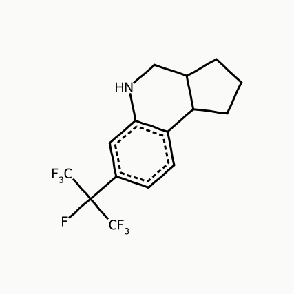 FC(F)(F)C(F)(c1ccc2c(c1)NCC1CCCC21)C(F)(F)F